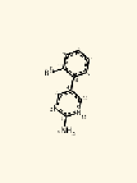 Nc1ncc(-c2ccccc2Br)cn1